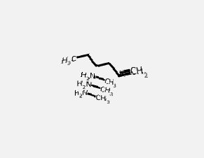 C=CCCCC.CN.CN.CN